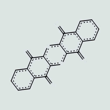 O=c1c2ccccc2c(=O)c2sc3c(=O)c4ccccc4c(=O)c3sc12